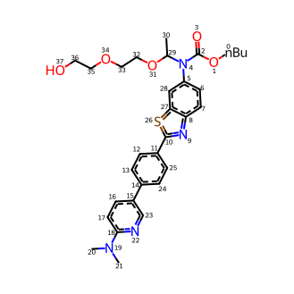 CCCCOC(=O)N(c1ccc2nc(-c3ccc(-c4ccc(N(C)C)nc4)cc3)sc2c1)C(C)OCCOCCO